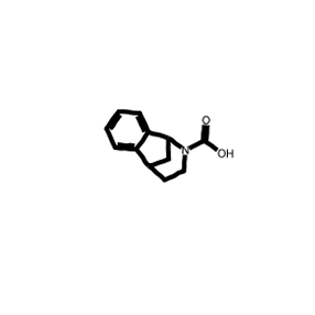 O=C(O)N1CCC2CC1c1ccccc12